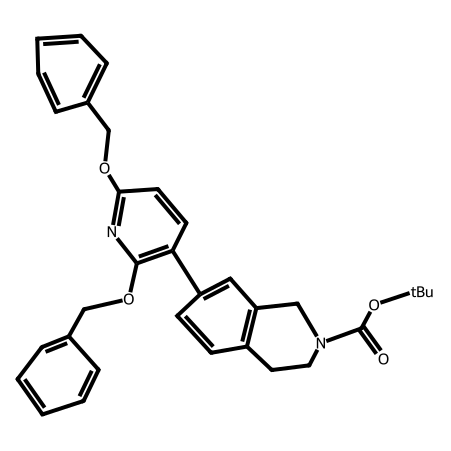 CC(C)(C)OC(=O)N1CCc2ccc(-c3ccc(OCc4ccccc4)nc3OCc3ccccc3)cc2C1